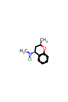 C[C@@H]1C[C@H](N(C)Cl)c2ccccc2O1